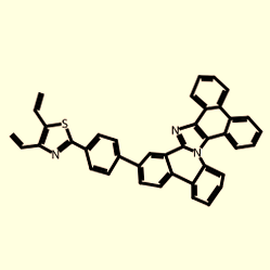 C=Cc1nc(-c2ccc(-c3ccc4c5ccccc5n5c(nc6c7ccccc7c7ccccc7c65)c4c3)cc2)sc1C=C